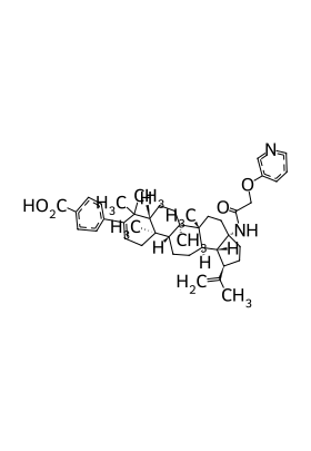 C=C(C)[C@@H]1CC[C@]2(NC(=O)COc3cccnc3)CC[C@]3(C)[C@H](CC[C@@H]4[C@@]5(C)CC=C(c6ccc(C(=O)O)cc6)C(C)(C)[C@@H]5CC[C@]43C)[C@@H]12